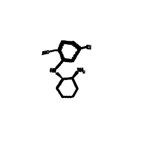 N#Cc1ccc(Cl)cc1N[C@H]1CCCC[C@@H]1N